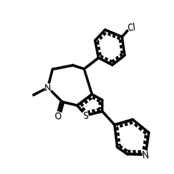 CN1CCC(c2ccc(Cl)cc2)c2cc(-c3ccncc3)sc2C1=O